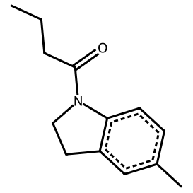 CCCC(=O)N1CCc2cc(C)ccc21